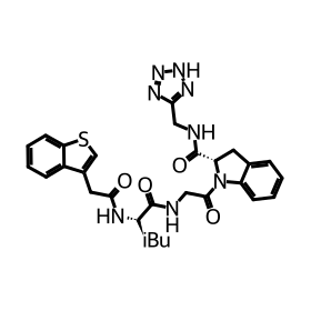 CC[C@H](C)[C@H](NC(=O)Cc1csc2ccccc12)C(=O)NCC(=O)N1c2ccccc2C[C@H]1C(=O)NCc1nn[nH]n1